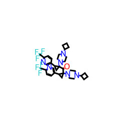 O=C(C1(N2CCN(C3CCC3)CC2)CC1c1ccc(C(F)(F)F)nc1)C1(N2CCN(C3CCC3)CC2)CC1c1ccc(C(F)(F)F)nc1